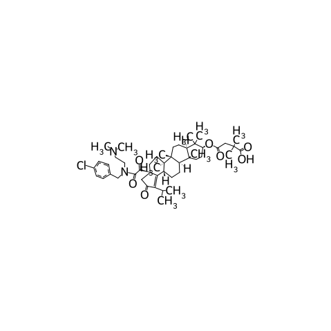 CC(C)C1=C2[C@H]3CC[C@@H]4[C@@]5(C)CC[C@H](OC(=O)CC(C)(C)C(=O)O)C(C)(C)[C@@H]5CC[C@@]4(C)[C@]3(C)CC[C@@]2(C(=O)C(=O)N(CCN(C)C)Cc2ccc(Cl)cc2)CC1=O